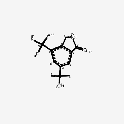 CC(C)(O)c1cc2c(c(C(F)(F)F)c1)CNC2=O